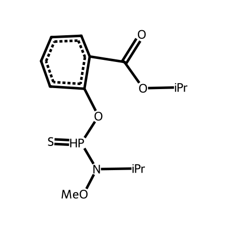 CON(C(C)C)[PH](=S)Oc1ccccc1C(=O)OC(C)C